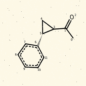 CC(=O)C1C[C@H]1c1ccccc1